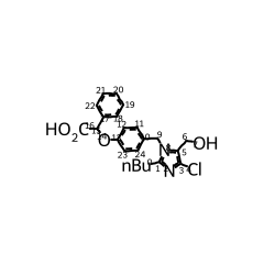 CCCCc1nc(Cl)c(CO)n1Cc1ccc(OC(C(=O)O)c2ccccc2)cc1